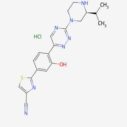 CC(C)[C@H]1CN(c2ncc(-c3ccc(-c4nc(C#N)cs4)cc3O)nn2)CCN1.Cl